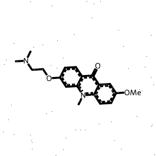 COc1ccc2c(c1)c(=O)c1ccc(OCCN(C)C)cc1n2C